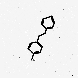 CCCCc1ccc(CCc2ccccc2)cc1